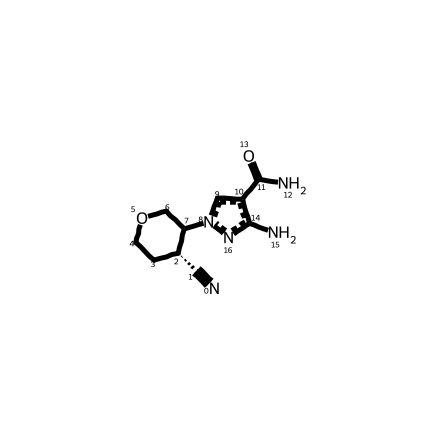 N#C[C@@H]1CCOCC1n1cc(C(N)=O)c(N)n1